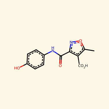 Cc1onc(C(=O)Nc2ccc(O)cc2)c1C(=O)O